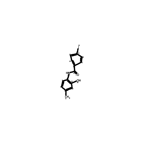 Cc1ccc(NC(=O)c2ccc(I)cc2)c(O)c1